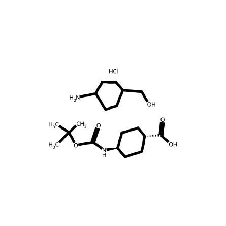 CC(C)(C)OC(=O)N[C@H]1CC[C@H](C(=O)O)CC1.Cl.NC1CCC(CO)CC1